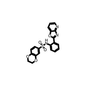 O=S(=O)(Nc1ccccc1-c1nc2ncccc2o1)c1ccc2c(c1)OCCO2